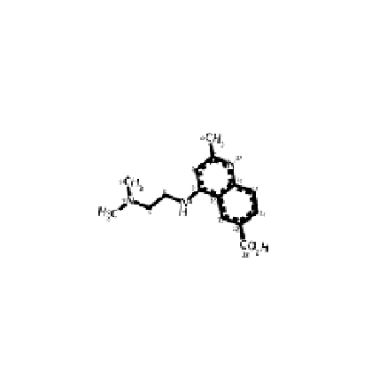 Cc1cc(NCCN(C)C)c2cc(C(=O)O)ccc2n1